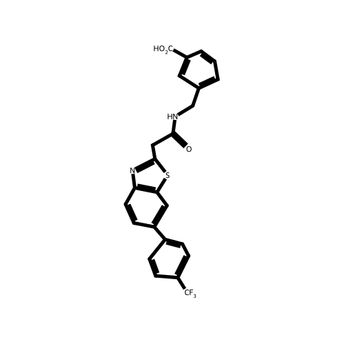 O=C(Cc1nc2ccc(-c3ccc(C(F)(F)F)cc3)cc2s1)NCc1cccc(C(=O)O)c1